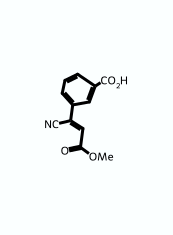 COC(=O)C=C(C#N)c1cccc(C(=O)O)c1